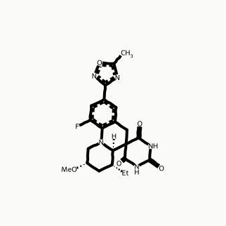 CC[C@@H]1C[C@H](OC)CN2c3c(F)cc(-c4noc(C)n4)cc3CC3(C(=O)NC(=O)NC3=O)[C@@H]12